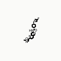 Cc1ncc(-c2ccc3cnc(NC(=O)[C@H]4CC[C@H](CN5CC(F)C5)CC4)cc3n2)o1